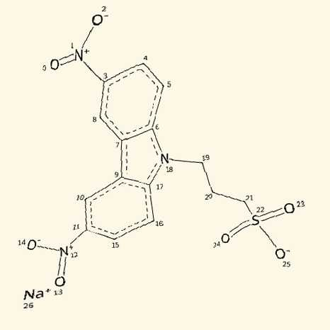 O=[N+]([O-])c1ccc2c(c1)c1cc([N+](=O)[O-])ccc1n2CCCS(=O)(=O)[O-].[Na+]